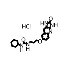 Cl.O=C(NCCCOc1ccc2nc3[nH]c(=O)[nH]c3cc2c1)NC1CCCCC1